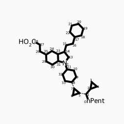 CCCCCC(C1CC1)[C@@H]1C[C@@H]1C1CCC(N2CC(CCC3CCCCC3)C3CC(CCC(=O)O)CCC32)CC1